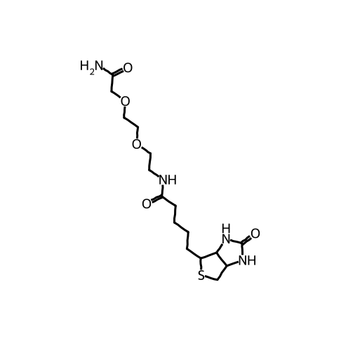 NC(=O)COCCOCCNC(=O)CCCCC1SCC2NC(=O)NC21